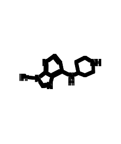 CC(C)n1cnc2c(NC3CCNCC3)ccnc21